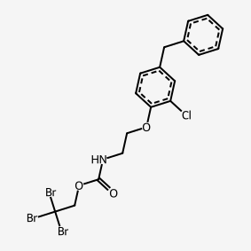 O=C(NCCOc1ccc(Cc2ccccc2)cc1Cl)OCC(Br)(Br)Br